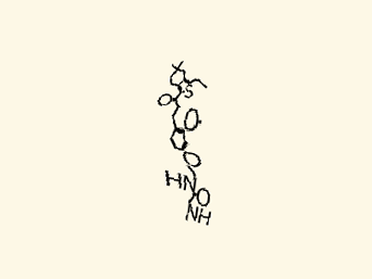 CCc1sc(C(=O)CCc2ccc(OCCNC(=O)CNC)cc2OC)c2c1CC(C)(C)CC2